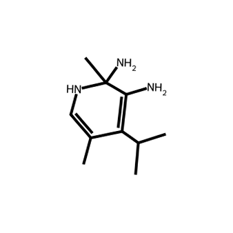 CC1=CNC(C)(N)C(N)=C1C(C)C